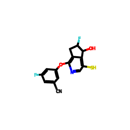 N#Cc1cc(F)cc(Oc2ncc(S)c3c2CC(F)C3O)c1